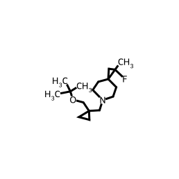 CC(C)(C)OCC1(CN2CCC3(CC2)CC3(C)F)CC1